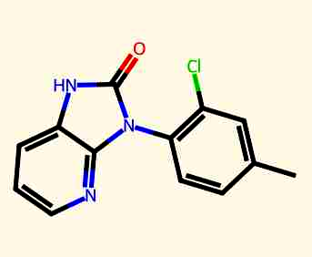 Cc1ccc(-n2c(=O)[nH]c3cccnc32)c(Cl)c1